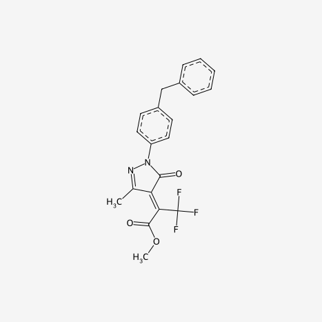 COC(=O)C(=C1C(=O)N(c2ccc(Cc3ccccc3)cc2)N=C1C)C(F)(F)F